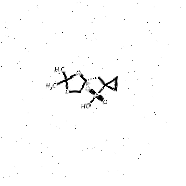 CC1(C)OC[C@@H](CC2(S(=O)(=O)O)CC2)O1